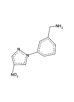 NCc1cccc(-n2cc([N+](=O)[O-])cn2)c1